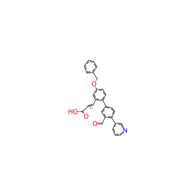 O=Cc1cc(-c2ccc(OCc3ccccc3)cc2/C=C/C(=O)O)ccc1-c1cccnc1